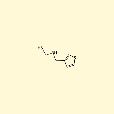 SCNCc1ccsc1